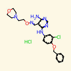 Cl.Nc1ncnc(Nc2ccc(OCc3ccccc3)c(Cl)c2)c1C=NOCCN1CCOCC1